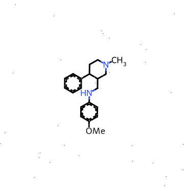 COc1ccc(NCC2CN(C)CCC2c2ccccc2)cc1